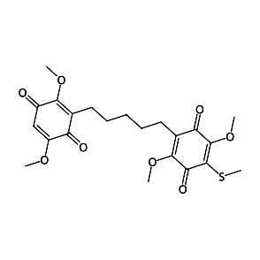 COC1=CC(=O)C(OC)=C(CCCCCC2=C(OC)C(=O)C(SC)=C(OC)C2=O)C1=O